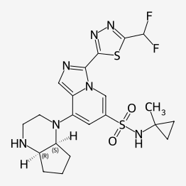 CC1(NS(=O)(=O)c2cc(N3CCN[C@@H]4CCC[C@@H]43)c3cnc(-c4nnc(C(F)F)s4)n3c2)CC1